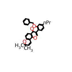 CCCc1ccc(-c2coc3c4c(ccc3c2=O)OC(C)(C)C=C4)c(OCc2ccccc2)c1